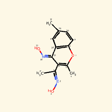 C/C(=N\O)c1c(C)oc2ccc(C)cc2/c1=N\O